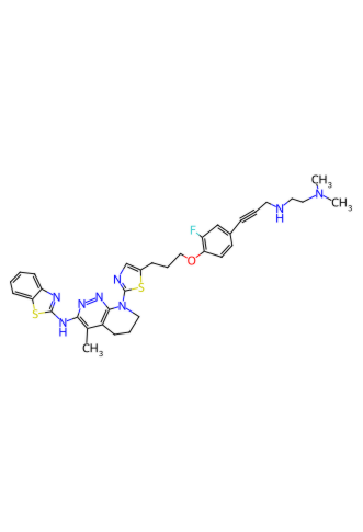 Cc1c(Nc2nc3ccccc3s2)nnc2c1CCCN2c1ncc(CCCOc2ccc(C#CCNCCN(C)C)cc2F)s1